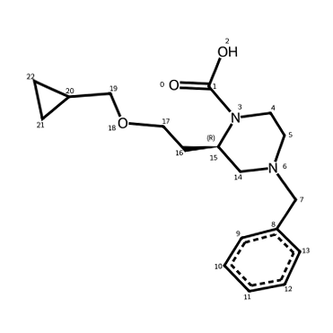 O=C(O)N1CCN(Cc2ccccc2)C[C@H]1CCOCC1CC1